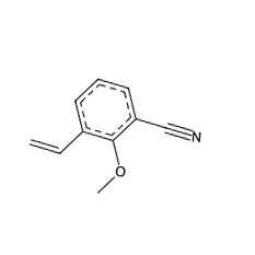 C=Cc1cccc(C#N)c1OC